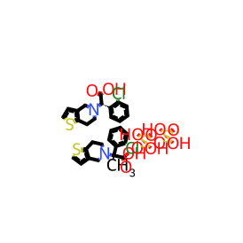 C[C@@](C(=O)O)(c1ccccc1Cl)N1CCc2sccc2C1.O=C(O)[C@H](c1ccccc1Cl)N1CCc2sccc2C1.O=S(=O)(O)O.O=S(=O)(O)O